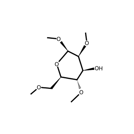 COC[C@H]1O[C@@H](OC)[C@@H](OC)[C@@H](O)[C@@H]1OC